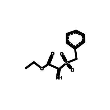 CCOC(=O)C(=N)S(=O)(=O)Cc1ccccc1